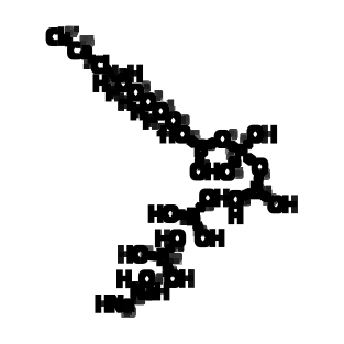 O.O.O.O.O.O.O=P(O)(OB(O)O)OB(O)O.OB(O)O.OB(O)O.[Cl][Ca][Cl].[NaH].[NaH].[NaH]